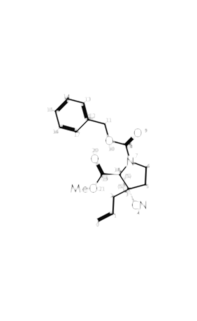 C=CC[C@]1(C#N)CCN(C(=O)OCc2ccccc2)[C@@H]1C(=O)OC